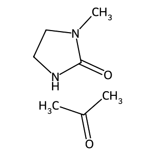 CC(C)=O.CN1CCNC1=O